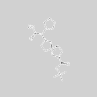 CC(C)(C)OC(=O)N1CC[C@]2(CCN(C(C(=O)O)C3CCCC3)C2)C1